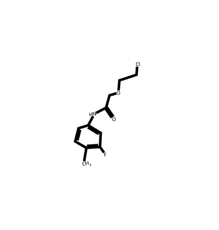 Cc1ccc(NC(=O)COCCCl)cc1F